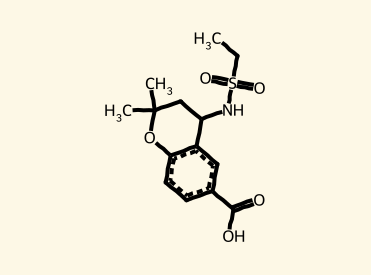 CCS(=O)(=O)NC1CC(C)(C)Oc2ccc(C(=O)O)cc21